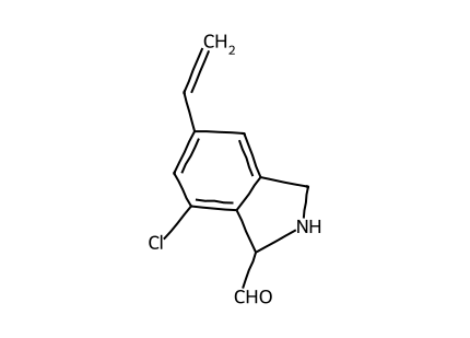 C=Cc1cc(Cl)c2c(c1)CNC2C=O